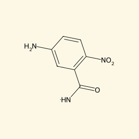 [NH]C(=O)c1cc(N)ccc1[N+](=O)[O-]